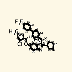 Cn1cc(Cl)c(COc2ccc3nc(C4CCCCC4C(=O)O)n(Cc4ccc(-c5ccc(C(F)(F)F)cc5)cc4)c3c2)n1